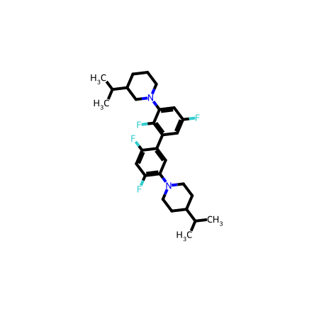 CC(C)C1CCN(c2cc(-c3cc(F)cc(N4CCCC(C(C)C)C4)c3F)c(F)cc2F)CC1